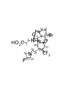 O=C(O)CCNC(=O)C(c1cc(Br)ccc1F)n1cc(CCN2CC(F)C2)c(C(F)(F)F)cc1=O